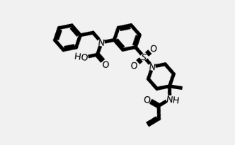 C=CC(=O)NC1(C)CCN(S(=O)(=O)c2cccc(N(Cc3ccccc3)C(=O)O)c2)CC1